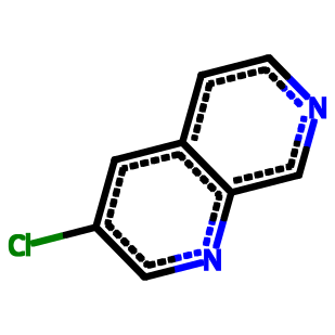 Clc1cnc2cnccc2c1